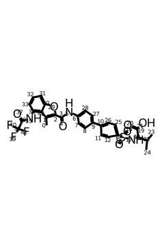 Cc1c(C(=O)Nc2ccc(-c3ccc(S(=O)(=O)NC(C(=O)O)C(C)C)cc3)cc2)oc2cccc(NC(=O)C(F)(F)F)c12